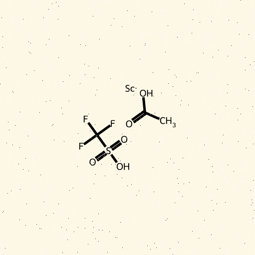 CC(=O)O.O=S(=O)(O)C(F)(F)F.[Sc]